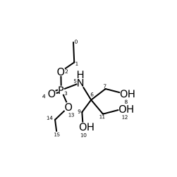 CCOP(=O)(NC(CO)(CO)CO)OCC